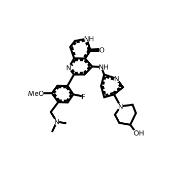 COc1cc(-c2cc(Nc3ccc(N4CCC(O)CC4)cn3)c3c(=O)[nH]ccc3n2)c(F)cc1CN(C)C